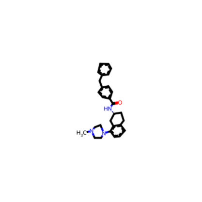 CN1CCN(c2cccc3c2C[C@H](NC(=O)c2ccc(Cc4ccccc4)cc2)CC3)CC1